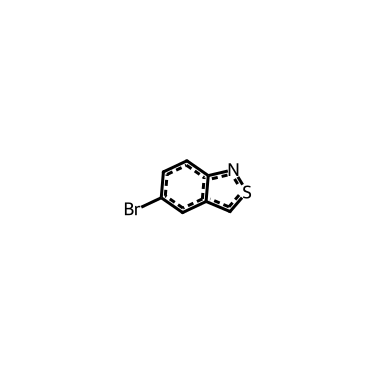 Brc1ccc2nscc2c1